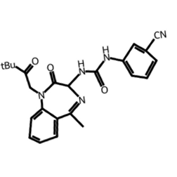 CC1=NC(NC(=O)Nc2cccc(C#N)c2)C(=O)N(CC(=O)C(C)(C)C)c2ccccc21